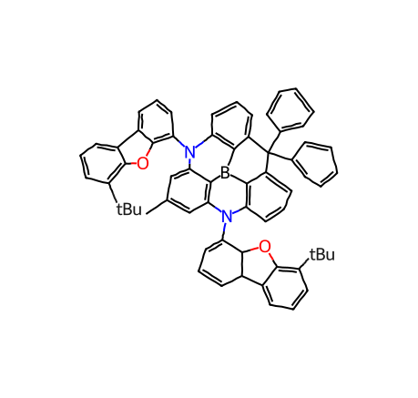 Cc1cc2c3c(c1)N(c1cccc4c1oc1c(C(C)(C)C)cccc14)c1cccc4c1B3c1c(cccc1C4(c1ccccc1)c1ccccc1)N2C1=CC=CC2c3cccc(C(C)(C)C)c3OC12